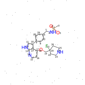 CS(=O)(=O)NCc1ccc(-c2c[nH]c3nccc(OCC4(F)CCNCC4)c23)cc1